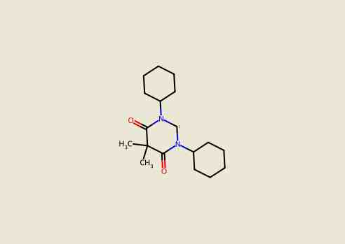 CC1(C)C(=O)N(C2CCCCC2)[C]N(C2CCCCC2)C1=O